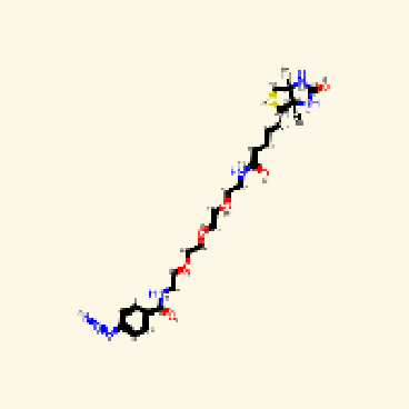 [N-]=[N+]=Nc1ccc(C(=O)NCCOCCOCCOCCNC(=O)CCCC[C@@H]2SC[C@@H]3NC(=O)N[C@@H]32)cc1